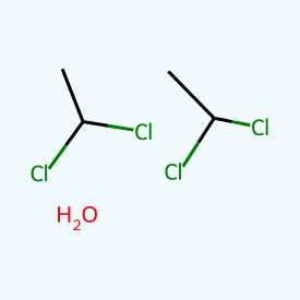 CC(Cl)Cl.CC(Cl)Cl.O